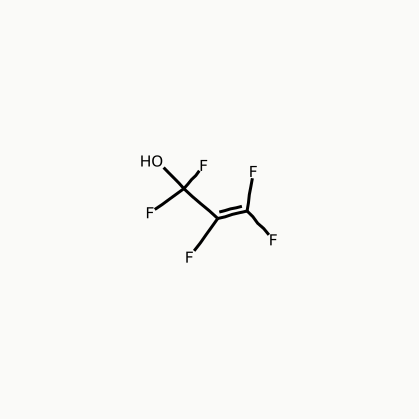 OC(F)(F)C(F)=C(F)F